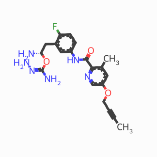 CC#CCOc1cnc(C(=O)Nc2ccc(F)c(C[C@@H](N)O/C(N)=N\N)c2)c(C)c1